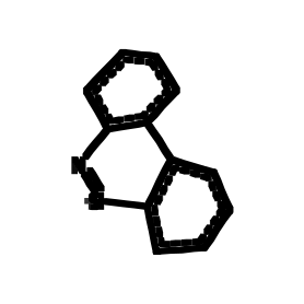 c1ccc2c(c1)N=[Si]c1ccccc1-2